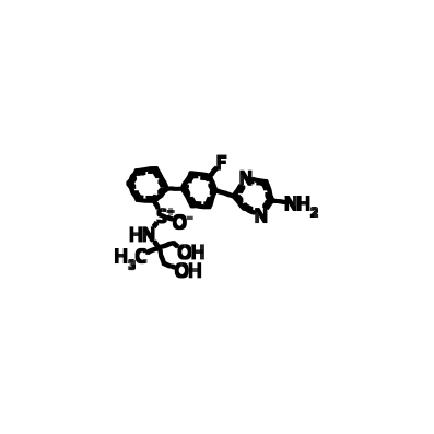 CC(CO)(CO)N[S+]([O-])c1ccccc1-c1ccc(-c2cnc(N)cn2)c(F)c1